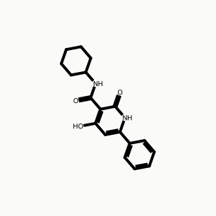 O=C(NC1CCCCC1)c1c(O)cc(-c2ccccc2)[nH]c1=O